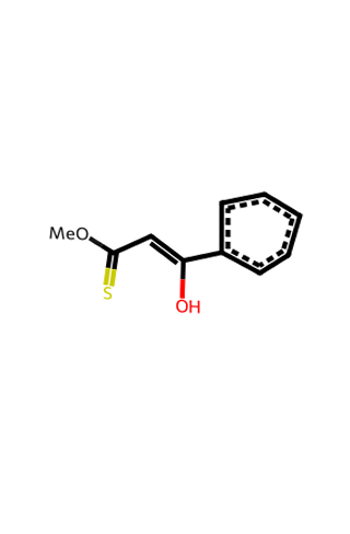 COC(=S)C=C(O)c1ccccc1